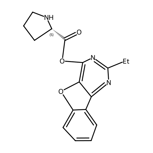 CCc1nc(OC(=O)[C@@H]2CCCN2)c2oc3ccccc3c2n1